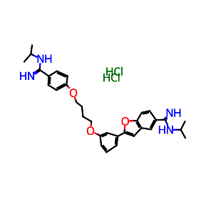 CC(C)NC(=N)c1ccc(OCCCCOc2cccc(-c3cc4cc(C(=N)NC(C)C)ccc4o3)c2)cc1.Cl.Cl